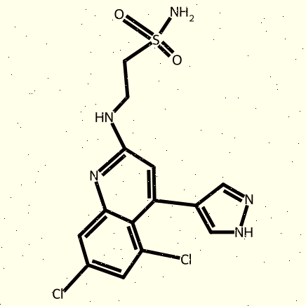 NS(=O)(=O)CCNc1cc(-c2cn[nH]c2)c2c(Cl)cc(Cl)cc2n1